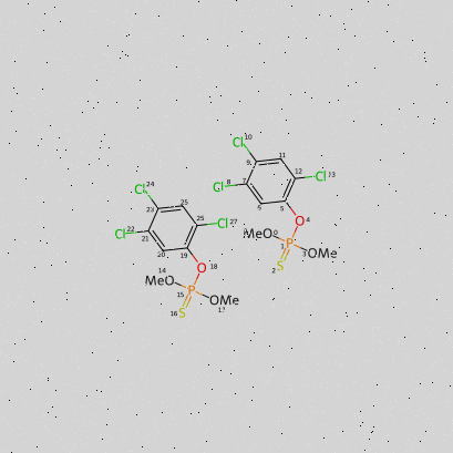 COP(=S)(OC)Oc1cc(Cl)c(Cl)cc1Cl.COP(=S)(OC)Oc1cc(Cl)c(Cl)cc1Cl